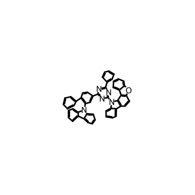 c1ccc(-c2nc(-c3ccc(-c4ccccc4)c(-n4c5ccccc5c5ccccc54)c3)nc(-n3c4ccccc4c4ccc5oc6ccccc6c5c43)n2)cc1